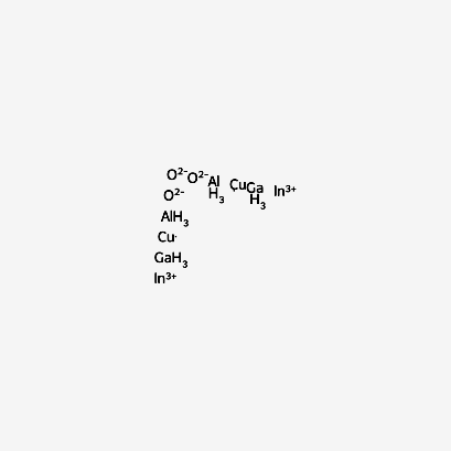 [AlH3].[AlH3].[Cu].[Cu].[GaH3].[GaH3].[In+3].[In+3].[O-2].[O-2].[O-2]